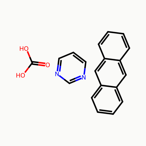 O=C(O)O.c1ccc2cc3ccccc3cc2c1.c1cncnc1